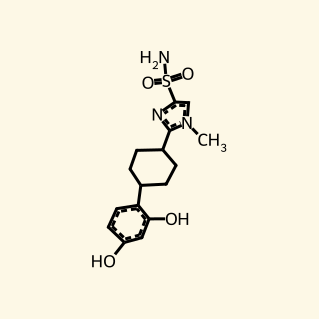 Cn1cc(S(N)(=O)=O)nc1C1CCC(c2ccc(O)cc2O)CC1